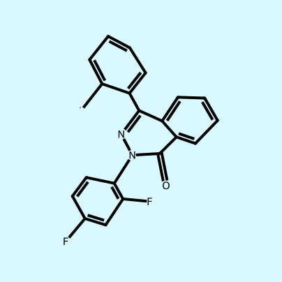 [CH2]c1ccccc1-c1nn(-c2ccc(F)cc2F)c(=O)c2ccccc12